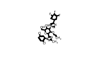 C=CCOC1C(c2nc(C)nn2-c2cc(Cl)ccc2Cl)OC(CO)C(OC)C1n1cc(-c2cc(F)c(F)c(F)c2)nn1